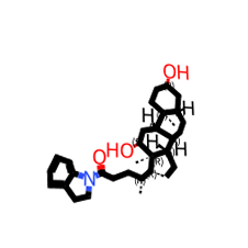 C[C@H](CCC(=O)N1CCc2ccccc21)[C@H]1CC[C@H]2[C@@H]3CC[C@@H]4C[C@H](O)CC[C@]4(C)[C@H]3C[C@H](O)[C@]12C